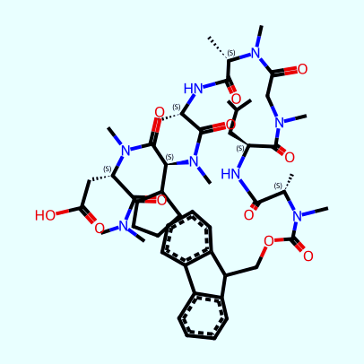 CC(C)C[C@H](NC(=O)[C@H](C)N(C)C(=O)OCC1c2ccccc2-c2ccccc21)C(=O)N(C)CC(=O)N(C)[C@@H](C)C(=O)N[C@@H](C)C(=O)N(C)[C@H](C(=O)N(C)[C@@H](CC(=O)O)C(=O)N(C)C)C1CCCC1